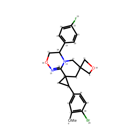 COc1cc(C2CC23CC2(COC2)CN2C3=NOCC2c2ccc(F)cc2)ccc1Br